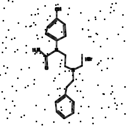 Br.CCN(CCc1ccccc1)CCN(C(N)=O)c1ccc(O)cc1